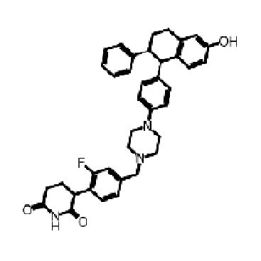 O=C1CCC(c2ccc(CN3CCN(c4ccc([C@@H]5c6ccc(O)cc6CC[C@@H]5c5ccccc5)cc4)CC3)cc2F)C(=O)N1